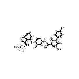 CC(C)n1cc(C(=O)Nc2ccc(Oc3ccnc4[nH]nc(N[C@@H](C)C(C)(C)O)c34)c(F)c2)c(=O)n(-c2ccc(F)cc2)c1=O